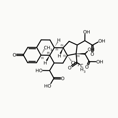 CC(=O)[C@@]1(C(O)C(=O)O)C(C(O)C(=O)O)C[C@H]2[C@@H]3CCC4=CC(=O)C=C[C@]4(C)[C@H]3C(C(O)C(=O)O)C[C@@]21C